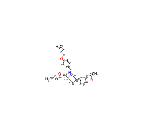 CCCCOc1ccc(Cn2cc(CC(=O)OCC)c3ccc(-c4cccc(OC(C)=O)c4)cc32)cc1